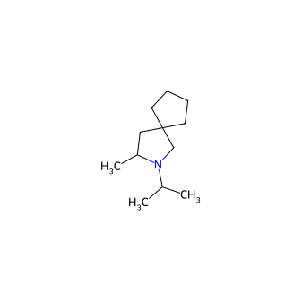 CC(C)N1CC2(CCCC2)CC1C